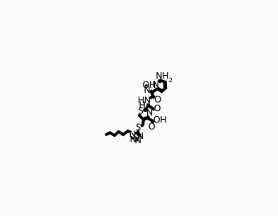 CCCCCCn1nnnc1SCC1=C(C(=O)O)N2C(=O)C(NC(=O)C(=NO)c3cccc(N)n3)[C@@H]2SC1